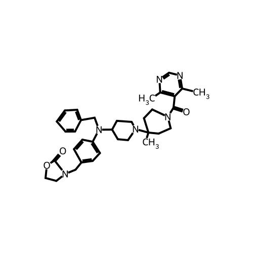 Cc1ncnc(C)c1C(=O)N1CCC(C)(N2CCC(N(Cc3ccccc3)c3ccc(CN4CCOC4=O)cc3)CC2)CC1